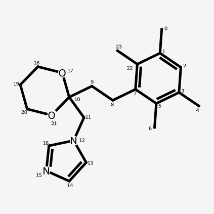 Cc1cc(C)c(C)c(CCC2(Cn3ccnc3)OCCCO2)c1C